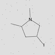 CC1CC(I)CN1C